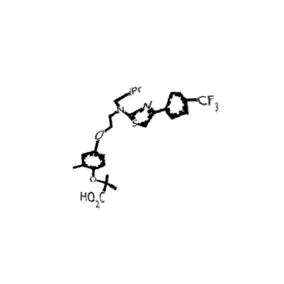 Cc1cc(OCCN(CC(C)C)c2nc(-c3ccc(C(F)(F)F)cc3)cs2)ccc1OC(C)(C)C(=O)O